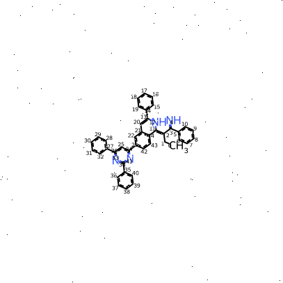 CC/C(C(=N)c1ccccc1)=C1/NC(c2ccccc2)=Cc2cc(-c3cc(-c4ccccc4)nc(-c4ccccc4)n3)ccc21